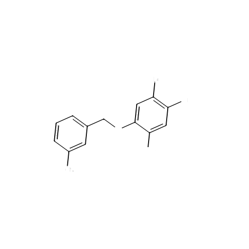 Cc1cc(C=O)c(OCc2cccc(C#N)c2)cc1Br